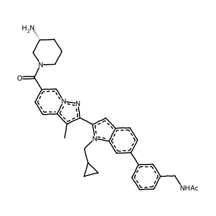 CC(=O)NCc1cccc(-c2ccc3cc(-c4nn5cc(C(=O)N6CCC[C@@H](N)C6)ccc5c4C)n(CC4CC4)c3c2)c1